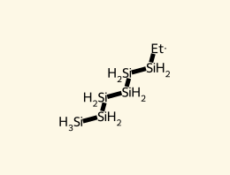 C[CH][SiH2][SiH2][SiH2][SiH2][SiH2][SiH3]